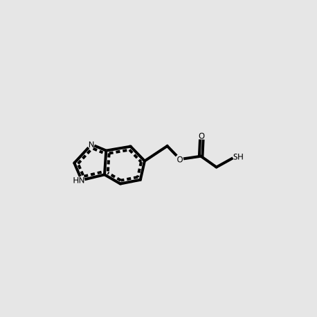 O=C(CS)OCc1ccc2[nH]cnc2c1